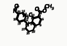 COC(=O)c1ccc2c(c1C)N(c1ccc(N=O)cc1)CCC2